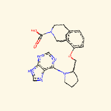 O=C(O)N1CCc2cccc(OCC3CCCN3c3ncnc4[nH]cnc34)c2C1